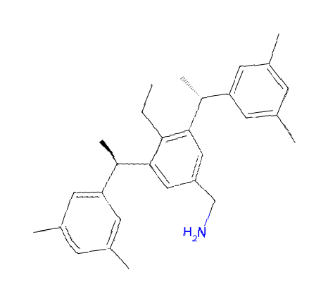 CCc1c([C@H](C)c2cc(C)cc(C)c2)cc(CN)cc1[C@H](C)c1cc(C)cc(C)c1